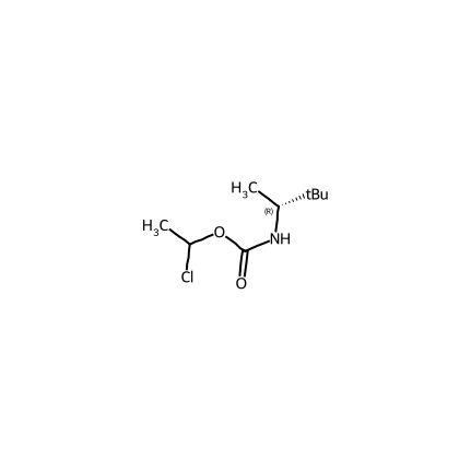 CC(Cl)OC(=O)N[C@H](C)C(C)(C)C